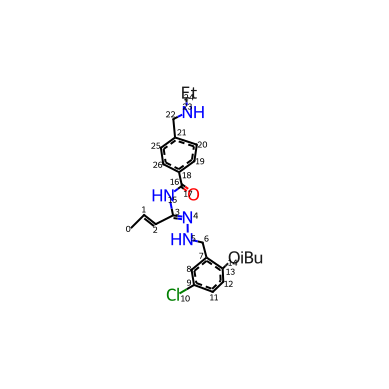 C/C=C/C(=N\NCc1cc(Cl)ccc1OCC(C)C)NC(=O)c1ccc(CNCC)cc1